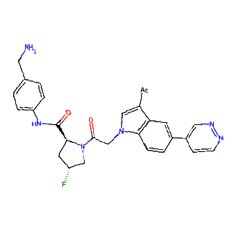 CC(=O)c1cn(CC(=O)N2C[C@H](F)C[C@H]2C(=O)Nc2ccc(CN)cc2)c2ccc(-c3ccnnc3)cc12